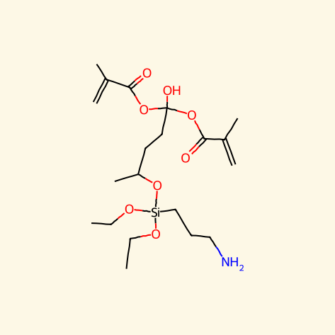 C=C(C)C(=O)OC(O)(CCC(C)O[Si](CCCN)(OCC)OCC)OC(=O)C(=C)C